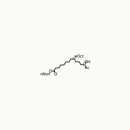 CCCCCCCCCOC(=O)CCCCCCCN(CCCCCCCC)CCCN(O)C(C)=O